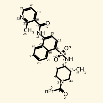 CCCC(=O)N1CC[C@H](NS(=O)(=O)c2ccc(NC(=O)c3cccnc3C)c3ccccc23)[C@H](C)C1